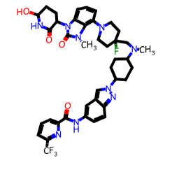 CN(CC1(F)CCN(c2cccc3c2n(C)c(=O)n3C2CCC(O)NC2=O)CC1)C1CCC(n2cc3cc(NC(=O)c4cccc(C(F)(F)F)n4)ccc3n2)CC1